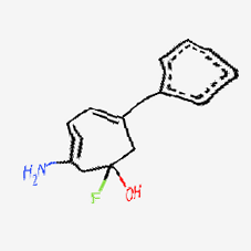 NC1=CC=C(c2ccccc2)CC1(O)F